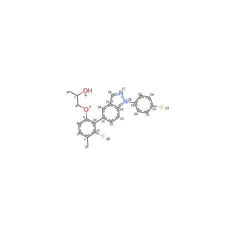 Cc1ccc(OCC(C)O)c(-c2ccc3c(cnn3-c3ccc(F)cc3)c2)c1F